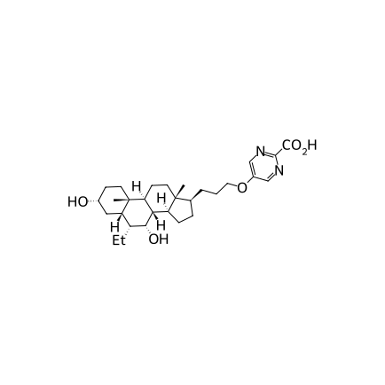 CC[C@H]1[C@@H](O)[C@@H]2[C@H](CC[C@]3(C)[C@@H](CCCOc4cnc(C(=O)O)nc4)CC[C@@H]23)[C@@]2(C)CC[C@@H](O)C[C@@H]12